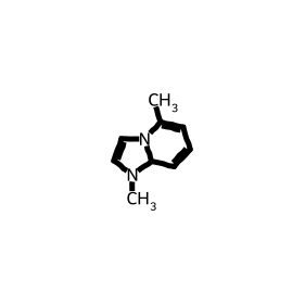 CC1=CC=CC2N(C)C=CN12